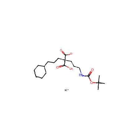 CC(C)(C)OC(=O)NCCCC(CCCC1CCCCC1)(C(=O)[O-])C(=O)O.[K+]